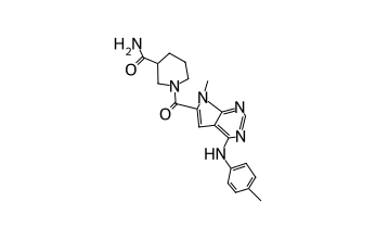 Cc1ccc(Nc2ncnc3c2cc(C(=O)N2CCCC(C(N)=O)C2)n3C)cc1